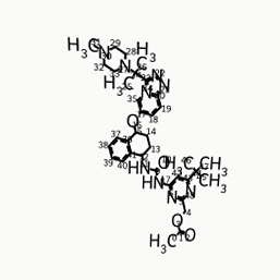 CC(=O)OCc1nc(NC(=O)NC2CCC(Oc3ccc4nnc(C(C)(C)N5CCN(C)CC5)n4c3)c3ccccc32)cc(C(C)(C)C)n1